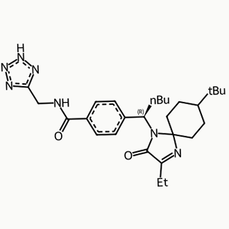 CCCC[C@H](c1ccc(C(=O)NCc2nn[nH]n2)cc1)N1C(=O)C(CC)=NC12CCC(C(C)(C)C)CC2